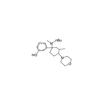 CCCCN(C)C1(c2cccc(O)c2)CCC(N2CCOCC2)C(C)C1